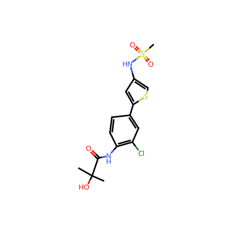 CC(C)(O)C(=O)Nc1ccc(-c2cc(NS(C)(=O)=O)cs2)cc1Cl